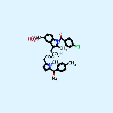 COc1ccc2c(c1)c(CC(=O)O)c(C)n2C(=O)c1ccc(Cl)cc1.Cc1ccc(C(=O)c2ccc(CC(=O)[O-])n2C)cc1.O.O.[Na+]